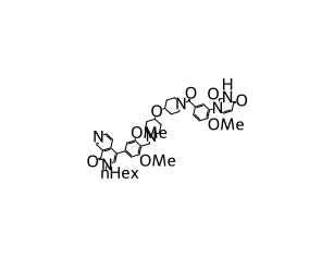 CCCCCCn1cc(-c2cc(OC)c(CN3CCC(OC4CCN(C(=O)c5ccc(OC)c(-n6ccc(=O)[nH]c6=O)c5)CC4)CC3)c(OC)c2)c2ccncc2c1=O